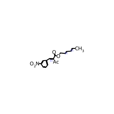 C/C=C/C=C/COC(=O)/C(=C/c1cccc([N+](=O)[O-])c1)C(C)=O